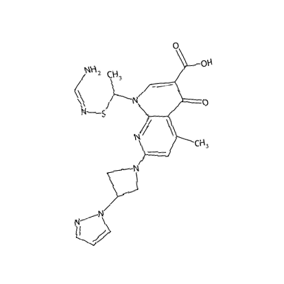 Cc1cc(N2CC(n3cccn3)C2)nc2c1c(=O)c(C(=O)O)cn2C(C)S/N=C\N